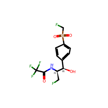 O=C(N[C@H](CF)[C@H](O)c1ccc(S(=O)(=O)CF)cc1)C(F)(F)F